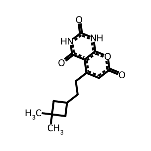 CC1(C)CC(CCc2cc(=O)oc3[nH]c(=O)[nH]c(=O)c23)C1